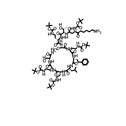 CC(C)C[C@@H]1NC(=O)[C@@H](CCc2ccccc2)NC(=O)[C@H](CCNC(=O)OC(C)(C)C)NC(=O)[C@@H](NC(=O)[C@H](CCNC(=O)OC(C)(C)C)NC(=O)[C@@H](NC(=O)CN(NC(=O)OC(C)(C)C)C(=O)CCCCCN)[C@@H](C)O)CCNC(=O)[C@H]([C@@H](C)O)NC(=O)[C@H](CCNC(=O)OC(C)(C)C)NC(=O)[C@H](CCNC(=O)OC(C)(C)C)NC1=O